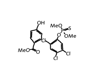 COC(=O)c1ccc(O)cc1.COP(=S)(OC)Oc1cc(Cl)c(Cl)cc1Cl